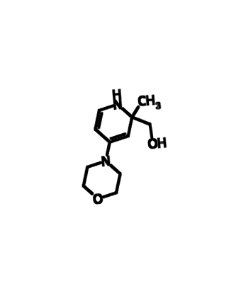 CC1(CO)C=C(N2CCOCC2)C=CN1